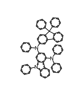 c1ccc(N(c2ccc3c(c2)-c2ccccc2C3(c2ccccc2)c2ccccc2)c2cc(N(c3ccccc3)c3ccccc3)c3c4ccccc4n(-c4ccccc4)c3c2)cc1